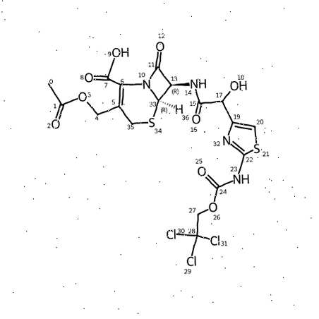 CC(=O)OCC1=C(C(=O)O)N2C(=O)[C@@H](NC(=O)C(O)c3csc(NC(=O)OCC(Cl)(Cl)Cl)n3)[C@H]2SC1